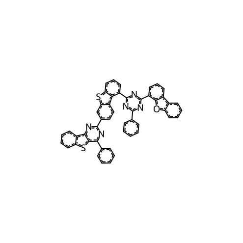 c1ccc(-c2nc(-c3cccc4c3oc3ccccc34)nc(-c3cccc4sc5cc(-c6nc(-c7ccccc7)c7sc8ccccc8c7n6)ccc5c34)n2)cc1